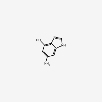 Nc1cc(O)c2nc[nH]c2c1